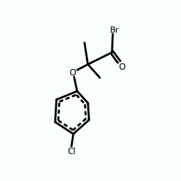 CC(C)(Oc1ccc(Cl)cc1)C(=O)Br